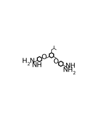 CC(C)Cc1cc(COc2ccc(C(=N)N)cc2)cc(COc2ccc(C(=N)N)cc2)c1